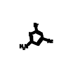 CC(=O)c1cc(N)nc(Br)c1